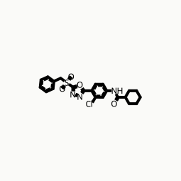 O=C(Nc1ccc(-c2nnc(S(=O)(=O)Cc3ccccc3)o2)c(Cl)c1)C1CCCCC1